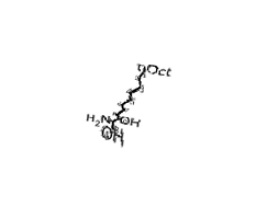 CCCCCCCCCCCCCCCC[C@@H](O)[C@@H](N)CO